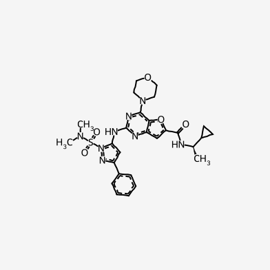 C[C@@H](NC(=O)c1cc2nc(Nc3cc(-c4ccccc4)nn3S(=O)(=O)N(C)C)nc(N3CCOCC3)c2o1)C1CC1